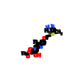 CCC(=O)OCc1c(O)cc2n(c1=O)Cc1c-2nc2ccc(OCCCSSC(C)(C)CN)cc2c1CC